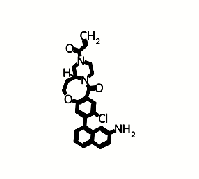 C=CC(=O)N1CCN2C(=O)c3cc(Cl)c(-c4cccc5ccc(N)cc45)cc3OCC[C@H]2C1